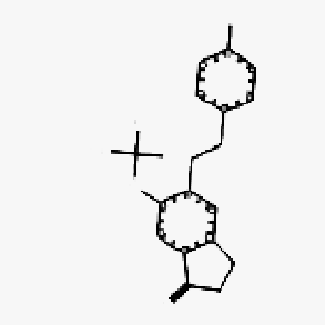 CC(C)(Oc1cc2c(cc1CCc1ccc(F)cc1)CCC2=O)C(=O)O